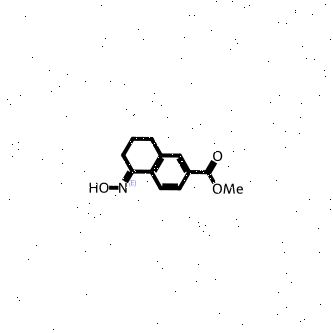 COC(=O)c1ccc2c(c1)CCC/C2=N\O